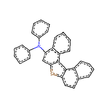 c1ccc(N(c2ccccc2)c2cc3sc4ccc5ccccc5c4c3c3ccccc23)cc1